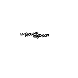 COC(=O)c1ccc(COC(CCNS(=O)(=O)c2ccc(/N=N/c3ccc(N(C)C)cc3)cc2)N=[N+]=[N-])cc1